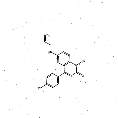 C=CCNc1ccc2c(c1)c(-c1ccc(C(C)C)cc1)nc(=O)n2C(C)C